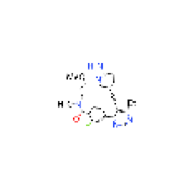 CCc1ncnc(-c2ccc(C(=O)N(C)CCCOC)c(F)c2)c1C#Cc1ccc(N)nc1